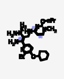 C=N/C=C\C(=N/COCCC)NC/C(=C(/N)c1ccc(OC2CCCCC2)c(CC)n1)N(C)N